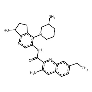 CCc1ccc2cc(N)c(C(=O)Nc3cnc4c(c3N3CCCC(N)C3)CCC4O)nc2c1